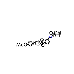 COc1ccc(N2CCN(S(=O)(=O)c3cccc(/C=C/C(=O)NO)c3)CC2)cc1